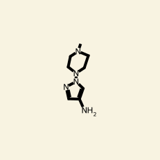 CN1CCN(n2cc(N)cn2)CC1